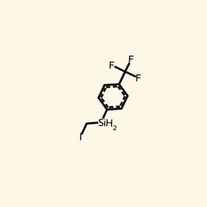 FC(F)(F)c1ccc([SiH2]CI)cc1